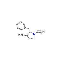 CO[C@@H]1CCN(C(=O)O)[C@H]1Cc1ccccc1